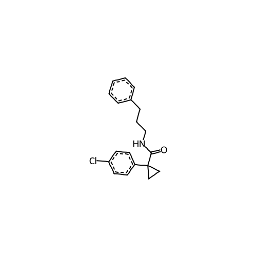 O=C(NCCCc1ccccc1)C1(c2ccc(Cl)cc2)CC1